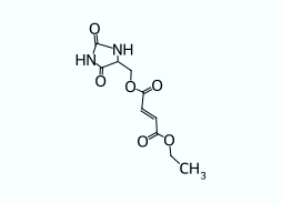 CCOC(=O)/C=C/C(=O)OCC1NC(=O)NC1=O